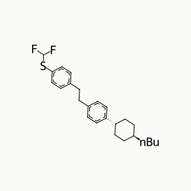 CCCC[C@H]1CC[C@H](c2ccc(CCc3ccc(SC(F)F)cc3)cc2)CC1